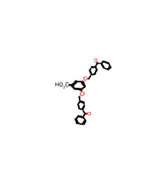 O=C(O)c1cc(OCc2ccc(C(=O)c3ccccc3)cc2)cc(OCc2ccc(C(=O)c3ccccc3)cc2)c1